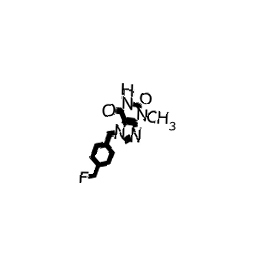 Cn1c(=O)[nH]c(=O)c2c1ncn2CC1CCC(CF)CC1